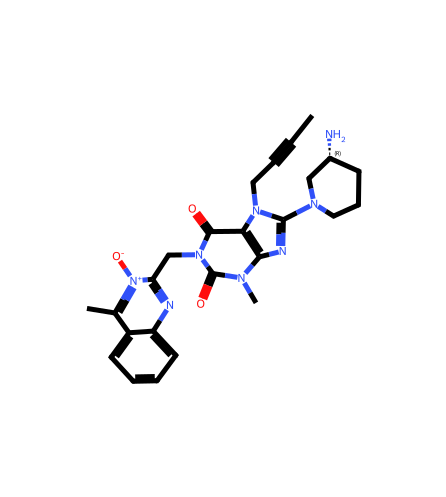 CC#CCn1c(N2CCC[C@@H](N)C2)nc2c1c(=O)n(Cc1nc3ccccc3c(C)[n+]1[O-])c(=O)n2C